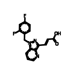 O=C(O)C=Cc1nn(Cc2ccc(F)cc2F)c2cccnc12